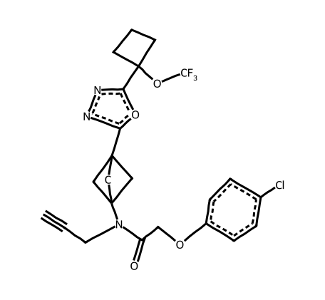 C#CCN(C(=O)COc1ccc(Cl)cc1)C12CC(c3nnc(C4(OC(F)(F)F)CCC4)o3)(C1)C2